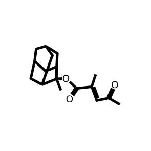 CC(=O)/C=C(\C)C(=O)OC1(C)C2CC3CC(C2)CC1C3